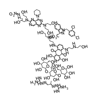 CC(/C=N/NC(=N)N)=N\NC(=N)N.N[N+](=O)[O-].O=C(O)c1nn(Cc2ccc(Cl)cc2Cl)c2ccccc12.O=C1c2c(O)ccc(O)c2C(=O)c2c(NCCNCCO)ccc(NCCNCCO)c21.OCCN(CCO)c1nc(N2CCCCC2)c2nc(N(CCO)CCO)ncc2n1.OC[C@H]1O[C@@H](O[C@H]2[C@H](O)[C@@H](O)[C@H](O[C@H]3[C@H](O)[C@@H](O)C(O)O[C@@H]3CO)O[C@@H]2CO)[C@H](O)[C@@H](O)[C@@H]1O